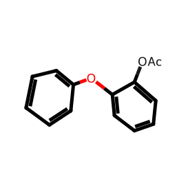 CC(=O)Oc1ccccc1Oc1ccccc1